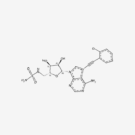 Nc1ncnc2c1c(C#Cc1ccccc1Cl)cn2[C@@H]1O[C@H](CNS(N)(=O)=O)[C@@H](O)[C@H]1O